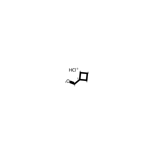 Cl.O=CC1CCC1